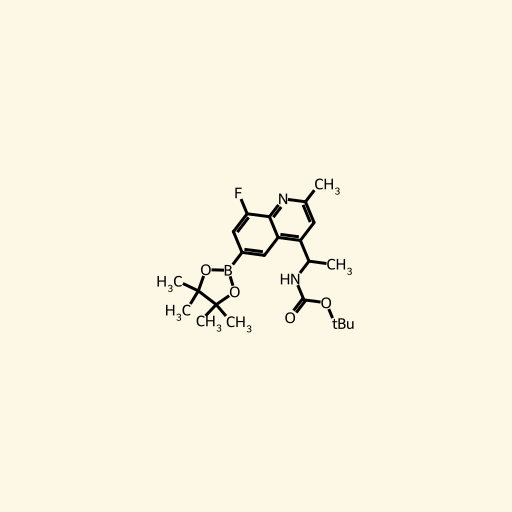 Cc1cc(C(C)NC(=O)OC(C)(C)C)c2cc(B3OC(C)(C)C(C)(C)O3)cc(F)c2n1